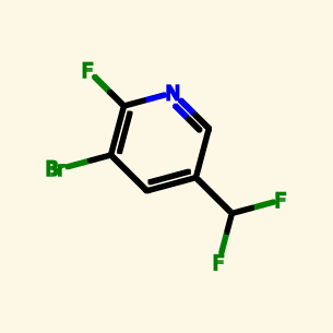 Fc1ncc(C(F)F)cc1Br